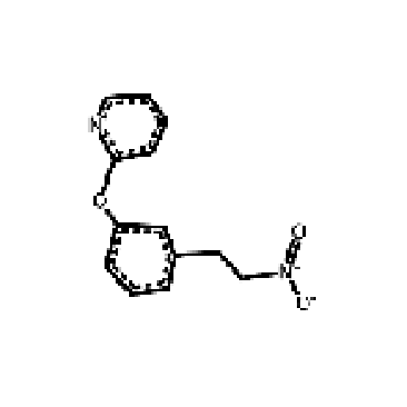 O=[N+]([O-])CCc1cccc(Oc2ccccn2)c1